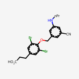 CCCNc1cc(C#N)cc(COc2c(Br)cc(CCC(=O)O)cc2Br)c1